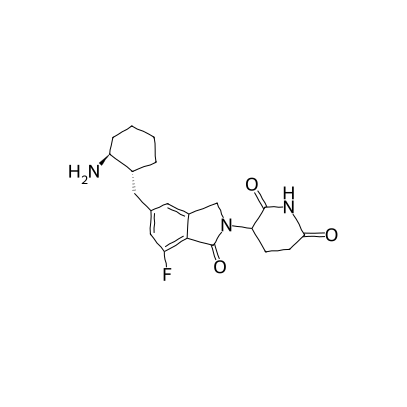 N[C@H]1CCCC[C@@H]1Cc1cc(F)c2c(c1)CN(C1CCC(=O)NC1=O)C2=O